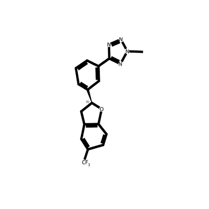 Cn1nnc(-c2cccc([C@@H]3Cc4cc(C(F)(F)F)ccc4O3)c2)n1